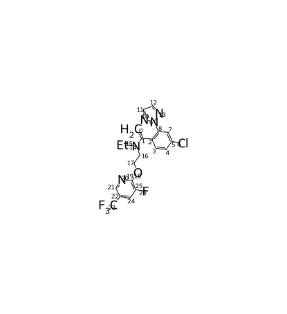 C=C(c1ccc(Cl)cc1-n1nccn1)N(CC)CCOc1ncc(C(F)(F)F)cc1F